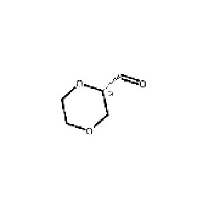 O=C[C@@H]1COCCO1